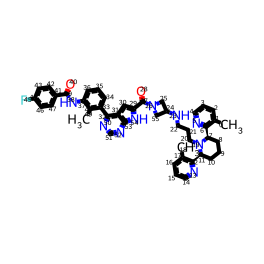 Cc1cccnc1[C@H]1CCC[C@@H](c2ncccc2C)N1CCCNC1CN(C(=O)c2cc3c(-c4cccc(NC(=O)c5ccc(F)cc5)c4C)ncnc3[nH]2)C1